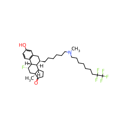 CN(CCCCCCCC(F)(F)C(F)(F)F)CCCCCC[C@@H]1Cc2cc(O)ccc2[C@@H]2[C@@H]1[C@@H]1CCC(=O)[C@@]1(C)C[C@@H]2F